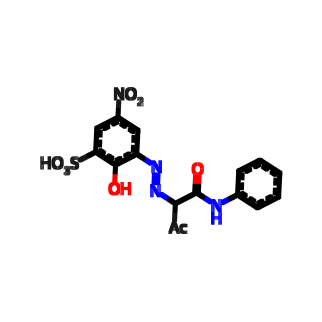 CC(=O)C(N=Nc1cc([N+](=O)[O-])cc(S(=O)(=O)O)c1O)C(=O)Nc1ccccc1